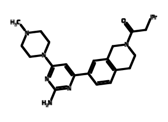 CC(C)CC(=O)N1CCc2ccc(-c3cc(N4CCN(C)CC4)nc(N)n3)cc2C1